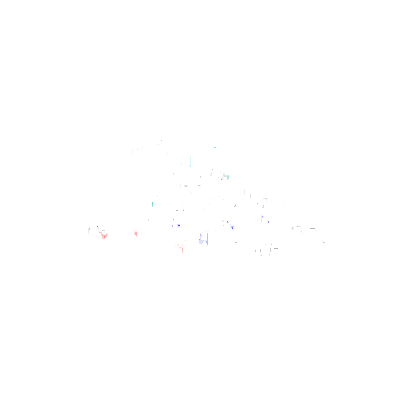 C=CC(=O)N1C(C)CN(c2nc(=O)n3c4c5c(c(C(F)(F)F)cc24)-c2ccc(F)cc2S5(F)CC(OCOC)C3)CC1C